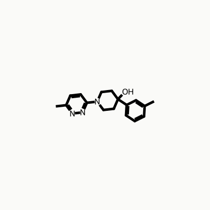 Cc1cccc(C2(O)CCN(c3ccc(C)nn3)CC2)c1